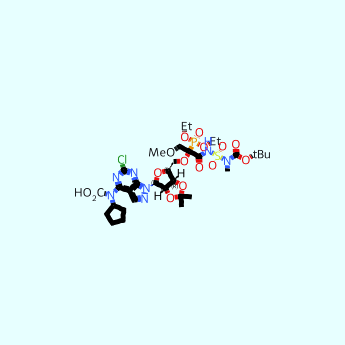 CCOP(=O)(OCC)C(COC)(OC[C@H]1O[C@@H](n2ncc3c(N(C(=O)O)C4CCCC4)nc(Cl)nc32)[C@@H]2OC(C)(C)O[C@@H]21)C(=O)NS(=O)(=O)N(C)C(=O)OC(C)(C)C